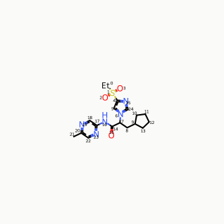 CCS(=O)(=O)c1cn(C(CC2CCCC2)C(=O)Nc2cnc(C)cn2)cn1